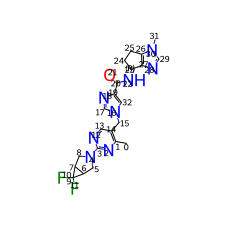 Cc1nc(N2CC3C(C2)C3(F)F)ncc1Cn1cnc(C(=O)N[C@@H]2CCc3c2ncn3C)c1